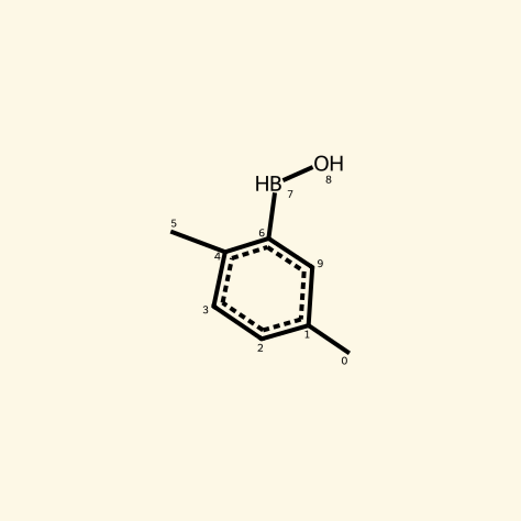 Cc1ccc(C)c(BO)c1